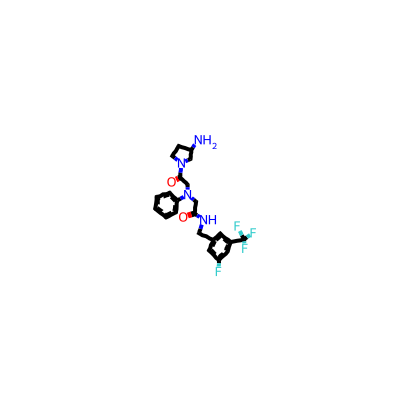 NC1CCN(C(=O)CN(CC(=O)NCc2cc(F)cc(C(F)(F)F)c2)c2ccccc2)C1